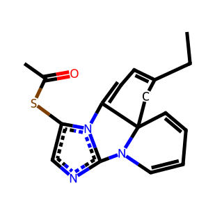 CCC1=CC=C2n3c(SC(C)=O)cnc3N3C=CC=CC23C1